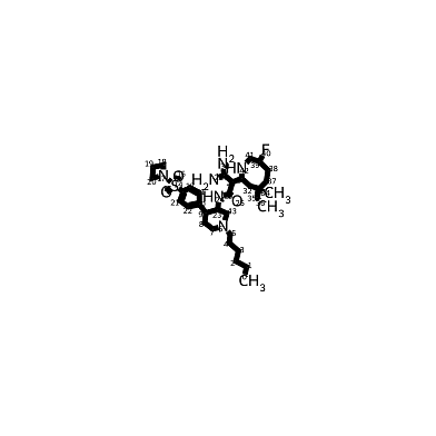 CCCCCCN1CCC(c2ccc(S(=O)(=O)N3CCC3)cc2)C(NC(=O)C(C(N)N)C2C[C@@](C)(CC)CCC(F)CN2)C1